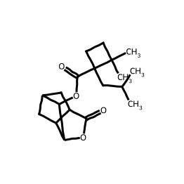 CC(C)CC1(C(=O)OC2C3CC4C(=O)OC2C4C3)CCC1(C)C